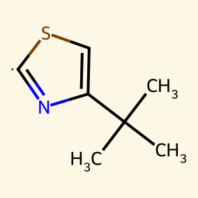 CC(C)(C)c1cs[c]n1